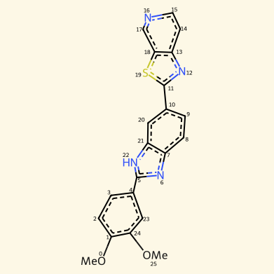 COc1ccc(-c2nc3ccc(-c4nc5ccncc5s4)cc3[nH]2)cc1OC